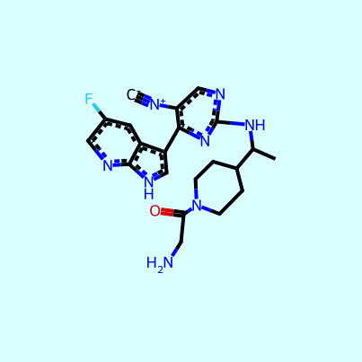 [C-]#[N+]c1cnc(NC(C)C2CCN(C(=O)CN)CC2)nc1-c1c[nH]c2ncc(F)cc12